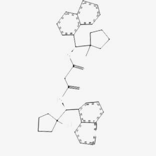 O=C(CC(=O)N[C@@H](c1cccc2ccccc12)C1(O)CCCC1)N[C@@H](c1cccc2ccccc12)C1(O)CCCC1